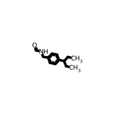 CCC(CC)c1ccc(CNC=O)cc1